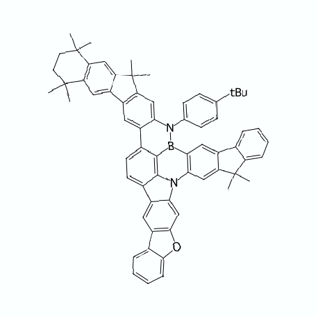 CC(C)(C)c1ccc(N2B3c4cc5c(cc4-n4c6cc7oc8ccccc8c7cc6c6ccc(c3c64)-c3cc4c(cc32)C(C)(C)c2cc3c(cc2-4)C(C)(C)CCC3(C)C)C(C)(C)c2ccccc2-5)cc1